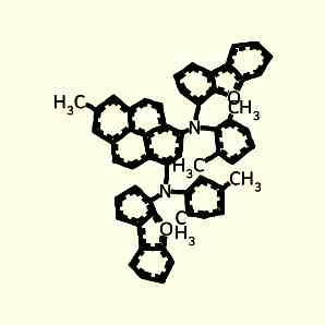 Cc1ccc(C)c(N(c2cc(N(c3c(C)cccc3C)c3cccc4c3oc3ccccc34)c3ccc4cc(C)cc5ccc2c3c54)c2cccc3c2oc2ccccc23)c1